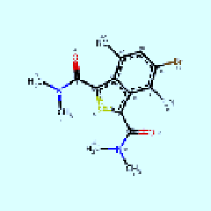 CN(C)C(=O)c1sc(C(=O)N(C)C)c2c(C#N)c(Br)cc(C#N)c12